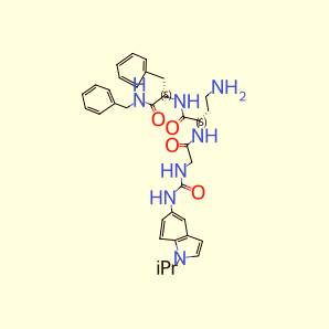 CC(C)n1ccc2cc(NC(=O)NCC(=O)N[C@@H](CCN)C(=O)N[C@@H](Cc3ccccc3)C(=O)NCc3ccccc3)ccc21